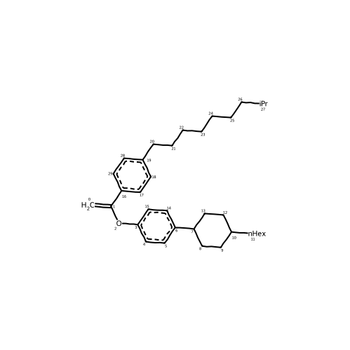 C=C(Oc1ccc(C2CCC(CCCCCC)CC2)cc1)c1ccc(CCCCCCCC(C)C)cc1